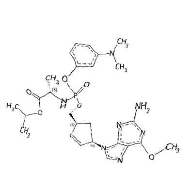 COc1nc(N)nc2c1ncn2[C@H]1C=C[C@@H](COP(=O)(N[C@@H](C)C(=O)OC(C)C)Oc2cccc(N(C)C)c2)C1